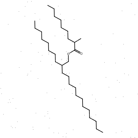 CCCCCCCCCCCCC(CCCCCCCC)COC(=O)C(C)CCCCCCC